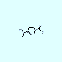 CC(=O)C(=O)N1CCC([C@@H](C)C(C)(C)C)CC1